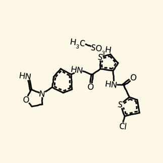 CS(=O)(=O)O.N=C1OCCN1c1ccc(NC(=O)c2sccc2NC(=O)c2ccc(Cl)s2)cc1